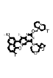 Oc1cc(-c2ncc3c(N4CCOCC5(CCO5)C4)nc(OC[C@@]45CCCN4C[C@H](F)C5)nc3c2F)c2c(Cl)c(F)ccc2c1